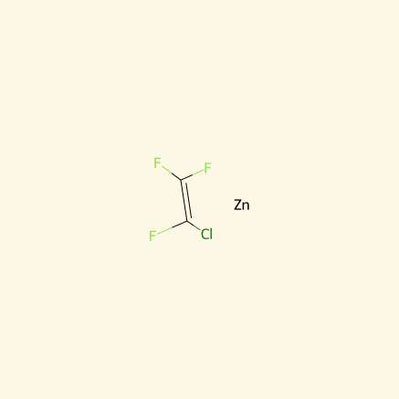 FC(F)=C(F)Cl.[Zn]